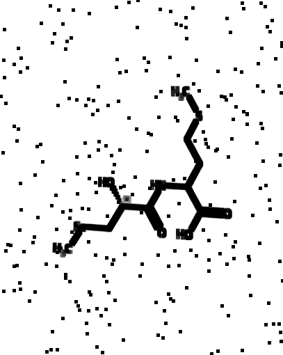 CSCCC(NC(=O)[C@@H](O)C[Se]C)C(=O)O